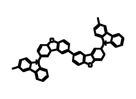 Cc1ccc2c(c1)c1ccccc1n2C1=CC2c3cc(-c4ccc5oc6c(c5c4)=CC(n4c5ccccc5c5cc(C)ccc54)CC=6)ccc3OC2C=C1